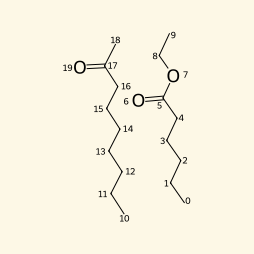 CCCCCC(=O)OCC.CCCCCCCC(C)=O